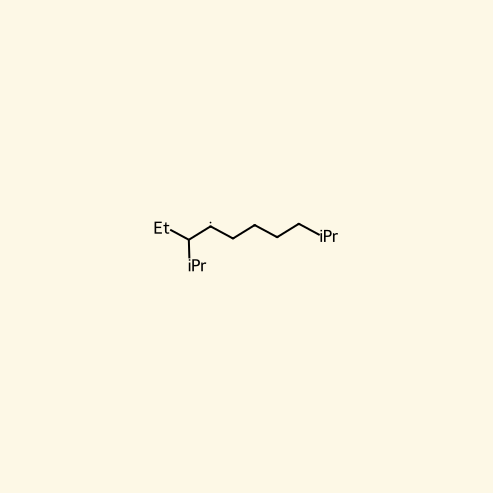 CCC([CH]CCCCC(C)C)C(C)C